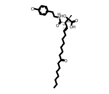 CCCCCCCC(=O)CCCCCC/C=C/[C@H](C(=O)NCCc1ccc(Cl)cc1)[C@](C)(O)C(=O)O